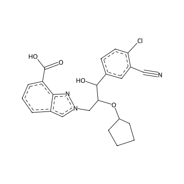 N#Cc1cc(C(O)C(Cn2cc3cccc(C(=O)O)c3n2)OC2CCCC2)ccc1Cl